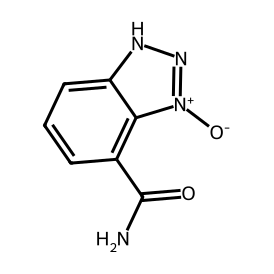 NC(=O)c1cccc2[nH]n[n+]([O-])c12